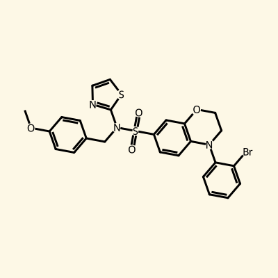 COc1ccc(CN(c2nccs2)S(=O)(=O)c2ccc3c(c2)OCCN3c2ccccc2Br)cc1